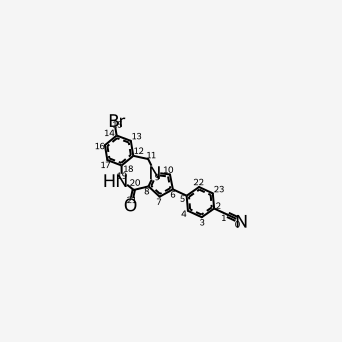 N#Cc1ccc(-c2cc3n(c2)Cc2cc(Br)ccc2NC3=O)cc1